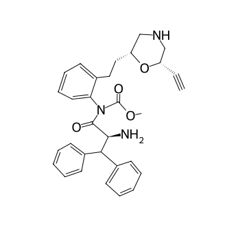 C#C[C@H]1CNC[C@@H](CCc2ccccc2N(C(=O)OC)C(=O)[C@@H](N)C(c2ccccc2)c2ccccc2)O1